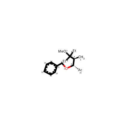 CCC(CC)(OC)[C@@H](C)[C@@H](OCc1ccccc1)C(C)=O